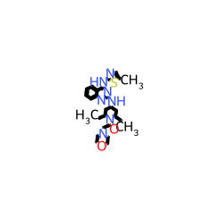 CCC1CC(Nc2nc(Nc3ncc(C)s3)c3ccccc3n2)CC(CC)N1C(=O)CN1CCOCC1